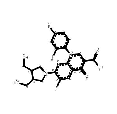 O=C(O)c1cn(-c2ccc(F)cc2F)c2nc(N3CC(CO)C(CO)C3)c(F)cc2c1=O